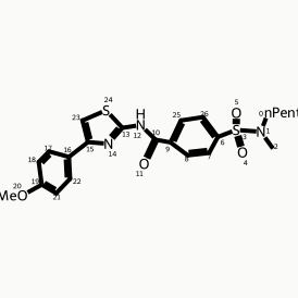 CCCCCN(C)S(=O)(=O)c1ccc(C(=O)Nc2nc(-c3ccc(OC)cc3)cs2)cc1